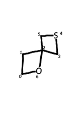 C1CC2(CSC2)O1